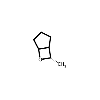 C[C@@H]1OC2CCCC21